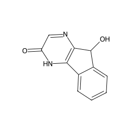 O=c1cnc2c([nH]1)-c1ccccc1C2O